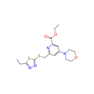 CCOC(=O)c1cc(N2CCOCC2)cc(CSc2nnc(CC)s2)n1